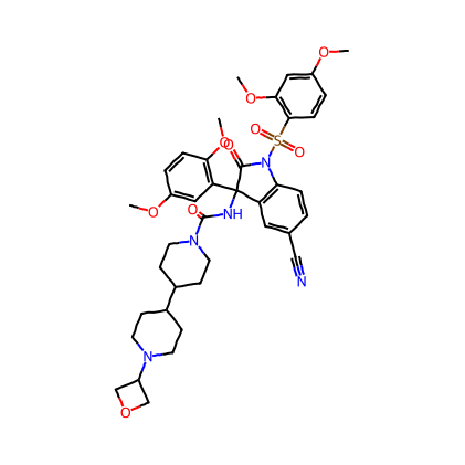 COc1ccc(S(=O)(=O)N2C(=O)C(NC(=O)N3CCC(C4CCN(C5COC5)CC4)CC3)(c3cc(OC)ccc3OC)c3cc(C#N)ccc32)c(OC)c1